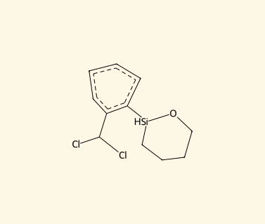 ClC(Cl)c1ccccc1[SiH]1CCCCO1